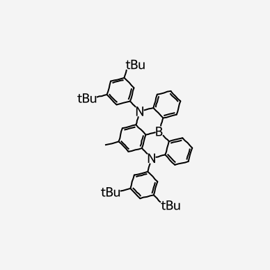 Cc1cc2c3c(c1)N(c1cc(C(C)(C)C)cc(C(C)(C)C)c1)c1ccccc1B3c1ccccc1N2c1cc(C(C)(C)C)cc(C(C)(C)C)c1